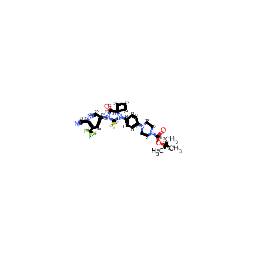 CC(C)(C)OC(=O)N1CCN(c2ccc(N3C(=S)N(c4cnc(C#N)c(C(F)(F)F)c4)C(=O)C34CCC4)cc2)CC1